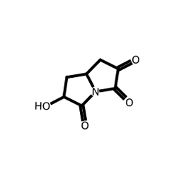 O=C1CC2CC(O)C(=O)N2C1=O